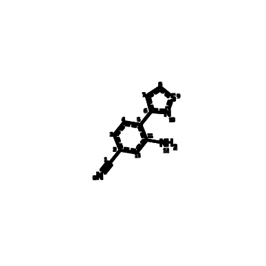 N#Cc1ccc(-c2ccsn2)c(N)c1